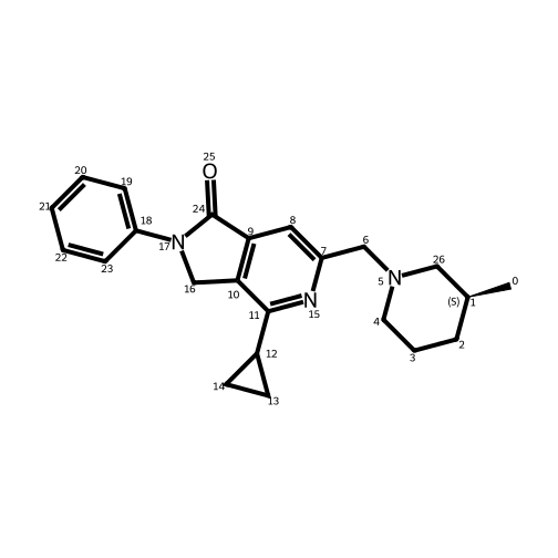 C[C@H]1CCCN(Cc2cc3c(c(C4CC4)n2)CN(c2ccccc2)C3=O)C1